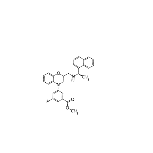 COC(=O)c1cc(F)cc(N2CC(CN[C@H](C)c3cccc4ccccc34)Oc3ccccc32)c1